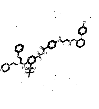 O=C(NS(=O)(=O)c1ccc(N[C@H](CCN2CCOCC2)CSc2ccccc2)c(S(=O)(=O)C(F)(F)F)c1)c1ccc(NCCNC[C@@H]2CCCC[C@H]2c2ccc(Cl)cc2)cc1